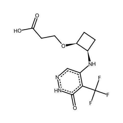 O=C(O)CCO[C@H]1CC[C@H]1Nc1cn[nH]c(=O)c1C(F)(F)F